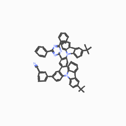 CC(C)(C)c1ccc2c(c1)c1ccccc1n2-c1ccc(-c2cccc(C#N)c2)cc1-c1ccc(-n2c3ccccc3c3cc(C(C)(C)C)ccc32)c(-c2nc(-c3ccccc3)nc(-c3ccccc3)n2)c1